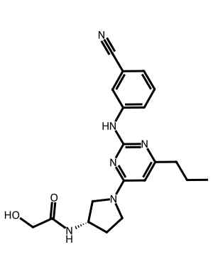 CCCc1cc(N2CC[C@H](NC(=O)CO)C2)nc(Nc2cccc(C#N)c2)n1